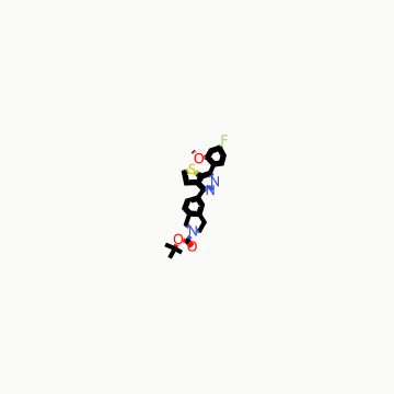 COc1cc(F)ccc1-c1nnc(-c2ccc3c(c2)CCN(C(=O)OC(C)(C)C)C3)c2ccsc12